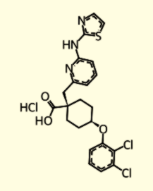 Cl.O=C(O)[C@]1(Cc2cccc(Nc3nccs3)n2)CC[C@@H](Oc2cccc(Cl)c2Cl)CC1